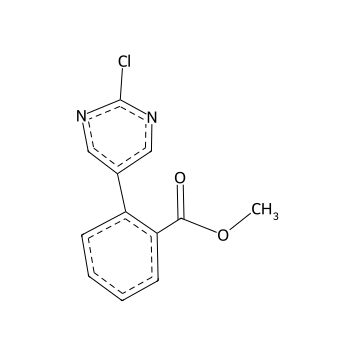 COC(=O)c1ccccc1-c1cnc(Cl)nc1